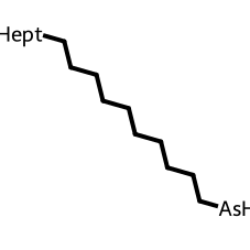 CCCCCCCCCCCCCCCCC[AsH2]